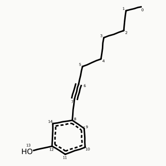 CCCCCCC#Cc1[c]ccc(O)c1